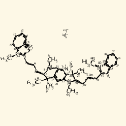 CN1/C(=C\C=C\c2sc3ccccc3[n+]2C)C(C)(C)c2cc3c(cc21)C(C)(C)/C(=C\C=C\c1sc2ccccc2[n+]1C)N3C.[I-].[I-]